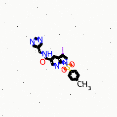 Cc1ccc(S(=O)(=O)n2cc(I)c3cc(C(=O)NCc4cncnc4)cnc32)cc1